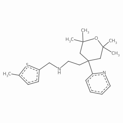 Cc1ccc(CNCCC2(c3ccccn3)CC(C)(C)OC(C)(C)C2)s1